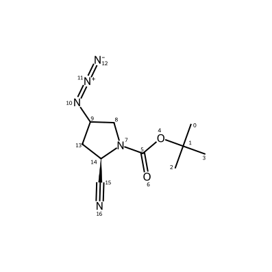 CC(C)(C)OC(=O)N1CC(N=[N+]=[N-])C[C@@H]1C#N